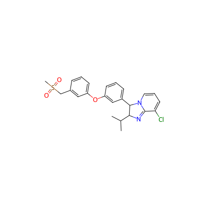 CC(C)C1N=C2C(Cl)=CC=CN2C1c1cccc(Oc2cccc(CS(C)(=O)=O)c2)c1